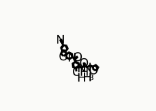 Cc1ccc(C(=O)N2CCC3(CC2)OCc2cc(C#N)ccc23)cc1NC(=O)NCC1CCCO1